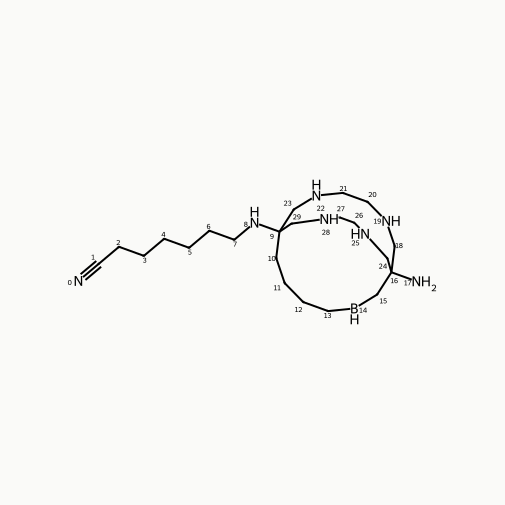 N#CCCCCCCNC12CCCCBCC(N)(CNCCNC1)CNCCNC2